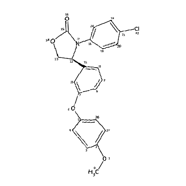 COc1ccc(Oc2cccc([C@H]3COC(=O)N3c3ccc(Cl)cc3)c2)cc1